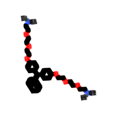 CCN(CC)CCOCCOCCOc1ccc(C(=C2C3CC4CC(C3)CC2C4)c2ccc(OCCOCCOCCN(CC)CC)cc2)cc1